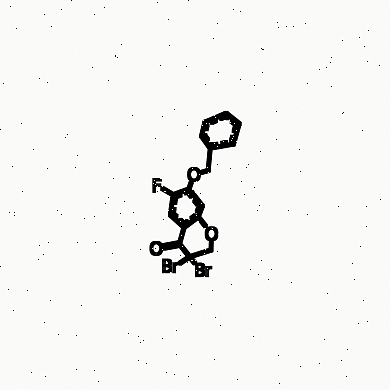 O=C1c2cc(F)c(OCc3ccccc3)cc2OCC1(Br)Br